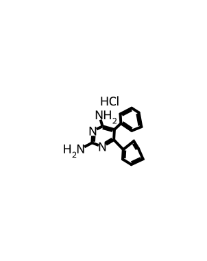 Cl.Nc1nc(N)c(-c2ccccc2)c(-c2ccccc2)n1